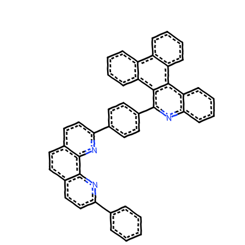 c1ccc(-c2ccc3ccc4ccc(-c5ccc(-c6nc7ccccc7c7c8ccccc8c8ccccc8c67)cc5)nc4c3n2)cc1